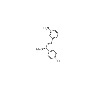 COC(C=Cc1cccc([N+](=O)[O-])c1)c1ccc(Cl)cc1